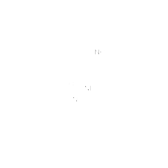 C[C@H]1CCN(C(=O)Nc2ccc([N+](=O)[O-])cc2)C1